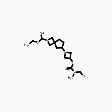 CCOC(O)N1CC2(CCC(N3CC(OC(=O)N(C)CC)C3)C2)C1